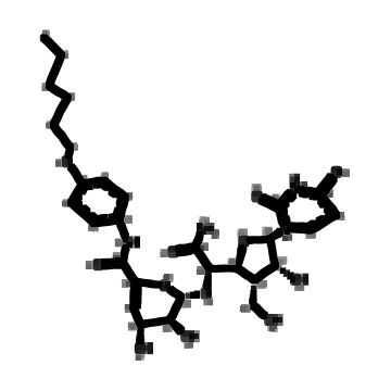 CCCCCCOc1ccc(NC(=O)C2=C[C@H](O)[C@H](O)[C@@H](O[C@@H](C(N)=O)[C@H]3O[C@@H](n4ccc(=O)[nH]c4=O)[C@H](O)[C@@H]3CO)O2)cc1